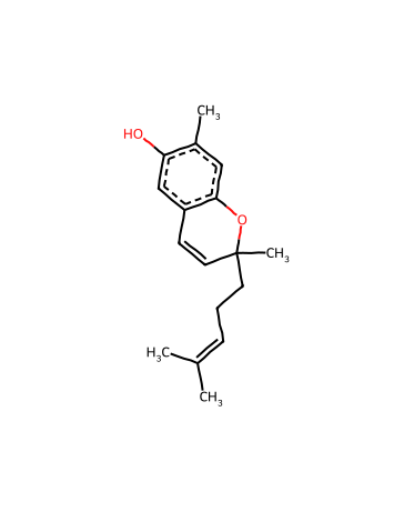 CC(C)=CCCC1(C)C=Cc2cc(O)c(C)cc2O1